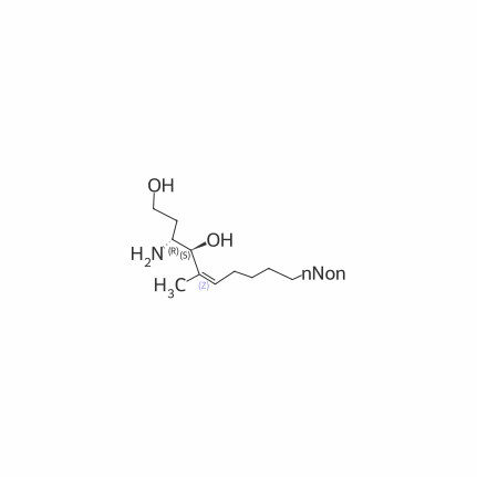 CCCCCCCCCCCCC/C=C(/C)[C@H](O)[C@H](N)CCO